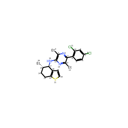 CCc1nc(-c2ccc(Cl)cc2Cl)c(CC)nc1N[C@H]1c2ccsc2CC[C@@H]1CC